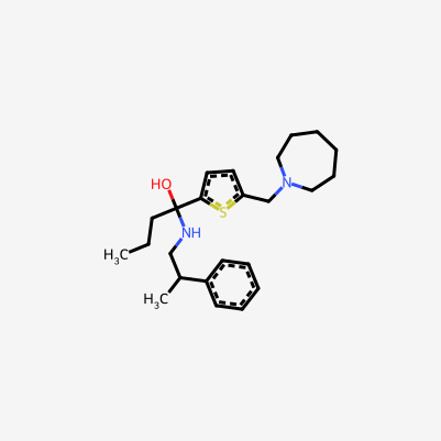 CCCC(O)(NCC(C)c1ccccc1)c1ccc(CN2CCCCCC2)s1